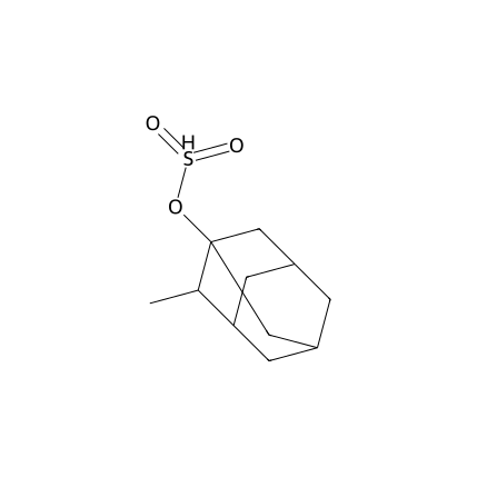 CC1C2CC3CC(C2)CC1(O[SH](=O)=O)C3